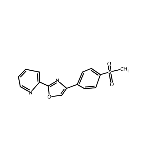 CS(=O)(=O)c1ccc(-c2coc(-c3ccccn3)n2)cc1